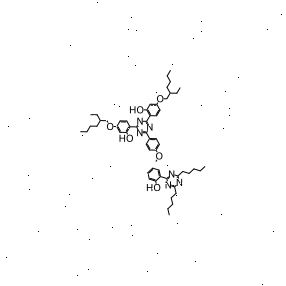 CCCCC(CC)COc1ccc(-c2nc(-c3ccc(OC)cc3)nc(-c3ccc(OCC(CC)CCCC)cc3O)n2)c(O)c1.CCCCCc1nc(CCCCC)nc(-c2ccccc2O)n1